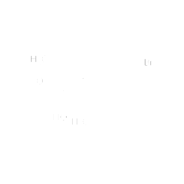 CCC(CC)(CCBr)C(=O)O